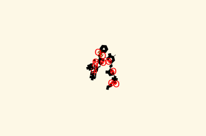 C=C1C[C@@H](CC(C)(C)C(=O)OCCC)O[C@H]1CC[C@H]1C[C@@H](C)C(=C)[C@@H](C[C@@H]2O[C@H](C[C@@H](CO[Si](C)(C)C(C)(C)C)O[Si](C)(C)C(C)(C)C)[C@H](OC)[C@H]2CS(=O)(=O)c2ccccc2)O1